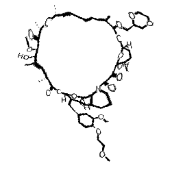 COCCO[C@@H]1CC[C@@H](CC2[C@H]3CCCN4C(=O)C(=O)[C@]5(O)O[C@@H](CC[C@H]5C)CC(OC[C@@H]5COCCO5)/C(C)=C/C=C/C=C/[C@@H](C)C[C@@H](C)C(=O)[C@H](OC)[C@H](O)/C(C)=C/[C@@H](C)C(=O)C[C@@H]2OC(=O)C34)C[C@H]1OC